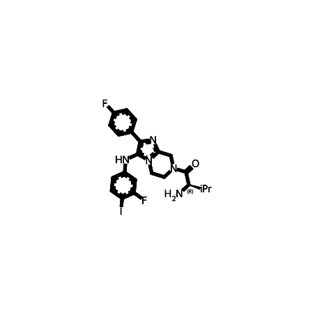 CC(C)[C@@H](N)C(=O)N1CCn2c(nc(-c3ccc(F)cc3)c2Nc2ccc(I)c(F)c2)C1